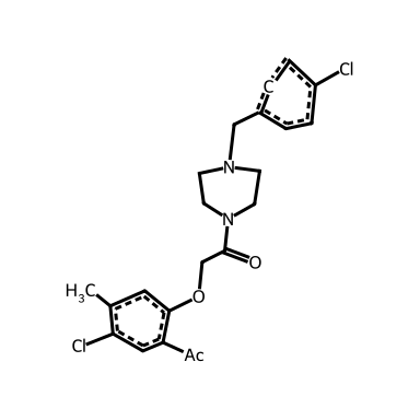 CC(=O)c1cc(Cl)c(C)cc1OCC(=O)N1CCN(Cc2ccc(Cl)cc2)CC1